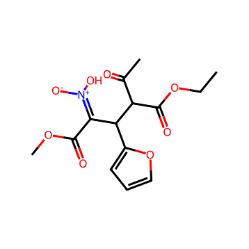 CCOC(=O)C(C(C)=O)C(C(C(=O)OC)=[N+]([O-])O)c1ccco1